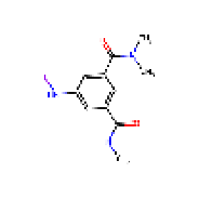 CNC(=O)c1cc(NI)cc(C(=O)N(C)C)c1